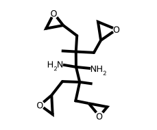 CC(CC1CO1)(CC1CO1)C(N)(N)C(C)(CC1CO1)CC1CO1